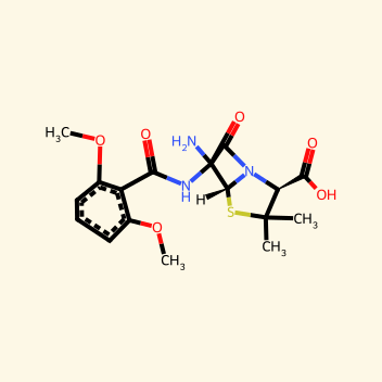 COc1cccc(OC)c1C(=O)NC1(N)C(=O)N2[C@@H](C(=O)O)C(C)(C)S[C@@H]21